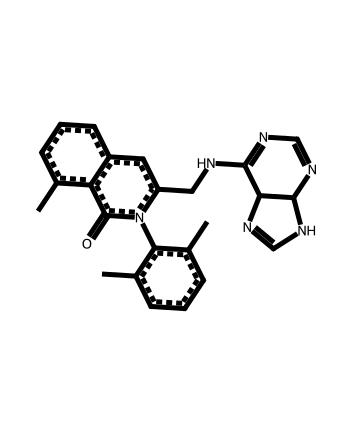 Cc1cccc(C)c1-n1c(CNC2=NC=NC3NC=NC23)cc2cccc(C)c2c1=O